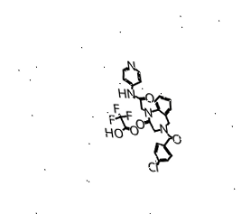 O=C(CN1C(=O)CN(C(=O)c2ccc(Cl)cc2)Cc2ccccc21)Nc1ccncc1.O=C(O)C(F)(F)F